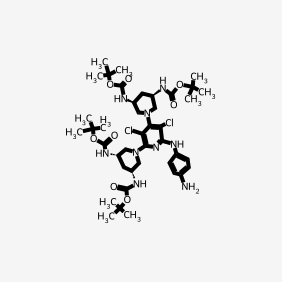 CC(C)(C)OC(=O)N[C@@H]1C[C@H](NC(=O)OC(C)(C)C)CN(c2nc(Nc3ccc(N)cc3)c(Cl)c(N3C[C@H](NC(=O)OC(C)(C)C)C[C@H](NC(=O)OC(C)(C)C)C3)c2Cl)C1